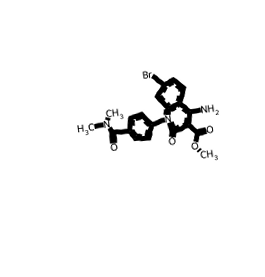 COC(=O)c1c(N)c2ccc(Br)cc2n(-c2ccc(C(=O)N(C)C)cc2)c1=O